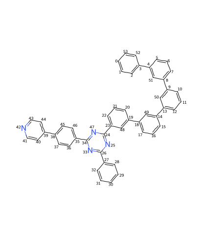 c1ccc(-c2cccc(-c3cccc(-c4cccc(-c5cccc(-c6nc(-c7ccccc7)nc(-c7ccc(-c8ccncc8)cc7)n6)c5)c4)c3)c2)cc1